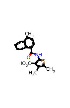 Cc1sc(NC(=O)c2ccc(C)c3ccccc23)c(C(=O)O)c1C